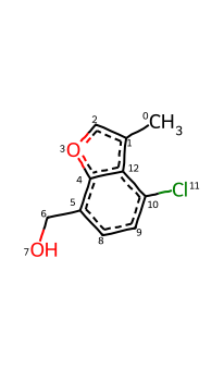 Cc1coc2c(CO)ccc(Cl)c12